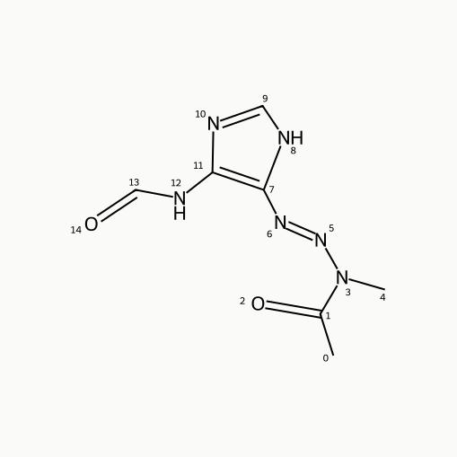 CC(=O)N(C)/N=N/c1[nH]cnc1NC=O